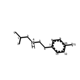 CC(C)CNCCc1ccc(I)cc1